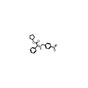 CN(Cc1ccc([N+](=O)[O-])cc1)[C@H](C(=O)OC1CCCC1)c1ccccc1